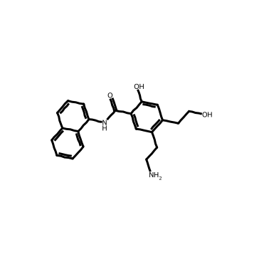 NCCc1cc(C(=O)Nc2cccc3ccccc23)c(O)cc1CCO